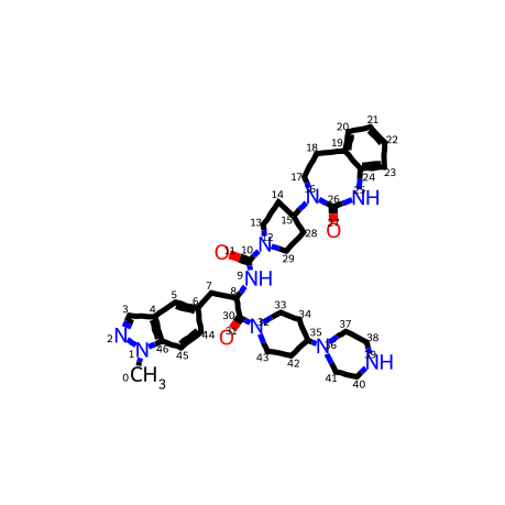 Cn1ncc2cc(CC(NC(=O)N3CCC(N4CCc5ccccc5NC4=O)CC3)C(=O)N3CCC(N4CCNCC4)CC3)ccc21